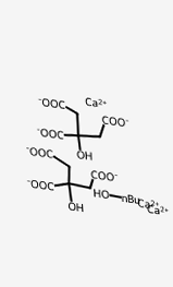 O=C([O-])CC(O)(CC(=O)[O-])C(=O)[O-].O=C([O-])CC(O)(CC(=O)[O-])C(=O)[O-].[CH2]CCCO.[Ca+2].[Ca+2].[Ca+2]